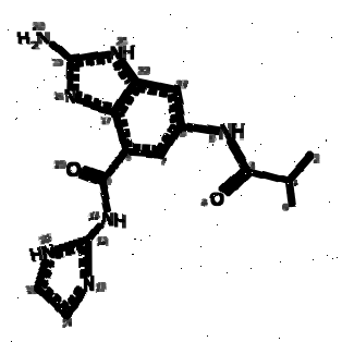 CC(C)C(=O)Nc1cc(C(=O)Nc2ncc[nH]2)c2nc(N)[nH]c2c1